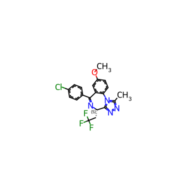 COc1ccc2c(c1)C(c1ccc(Cl)cc1)=N[C@@H](CC(F)(F)F)c1nnc(C)n1-2